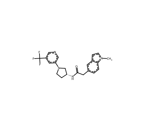 Cn1ccc2cc(CC(=O)N[C@@H]3CCN(c4cncc(C(F)(F)F)c4)C3)ccc21